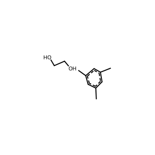 Cc1cc(C)cc(C)c1.OCCO